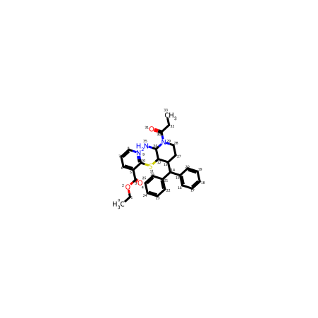 CCOC(=O)c1cccnc1SC1C(C(c2ccccc2)c2ccccc2)CCN(C(=O)CC)C1N